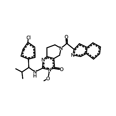 COn1c(NC(c2ccc(Cl)cc2)C(C)C)nc2c(c1=O)CN(C(=O)c1cc3ccccc3cn1)CC2